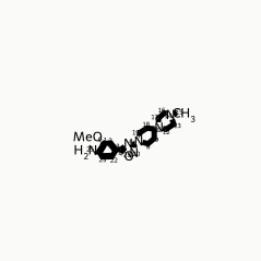 COc1cc(-c2nc(N3CCC(N4CCN(C)CC4)CC3)no2)ccc1N